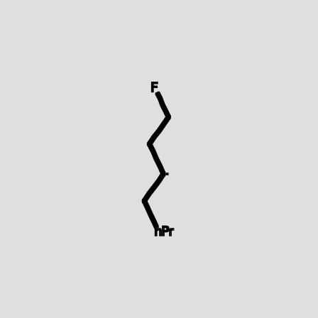 CCCC[CH]CCF